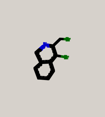 BrCc1ncc2ccccc2c1Br